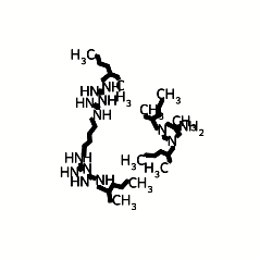 CCCCC(CC)CN1CN(CC(CC)CCCC)CC(C)(N)C1.CCCCC(CC)CNC(=N)NC(=N)NCCCCCCNC(=N)NC(=N)NCC(CC)CCCC